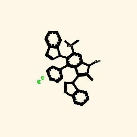 CC1=C(C2C=Cc3ccccc32)c2c(cc([SiH](C)C)c(C3C=Cc4ccccc43)c2-c2ccccc2)[CH]1[Zr+2].[Cl-].[Cl-]